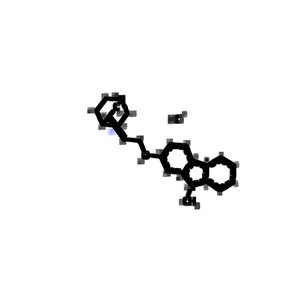 Cl.Cn1c2ccccc2c2ccc(OC/C=C3\CN4CCC3CC4)cc21